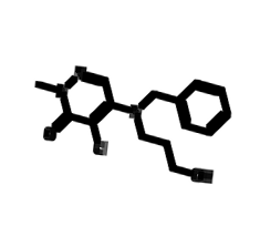 Cn1ncc(N(CCCO)Cc2ccccc2)c(Cl)c1=O